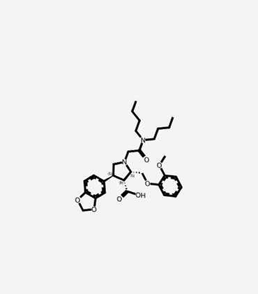 CCCCN(CCCC)C(=O)CN1C[C@H](c2ccc3c(c2)OCO3)[C@@H](C(=O)O)[C@H]1COc1ccccc1OC